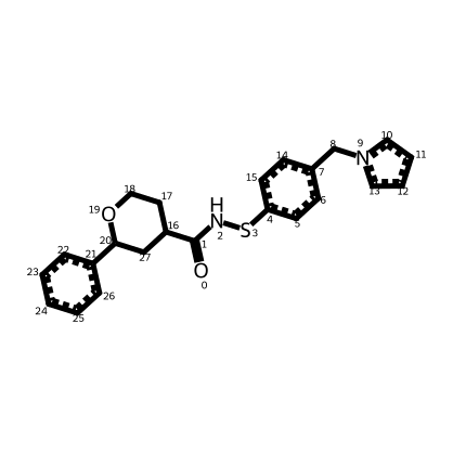 O=C(NSc1ccc(Cn2cccc2)cc1)C1CCOC(c2ccccc2)C1